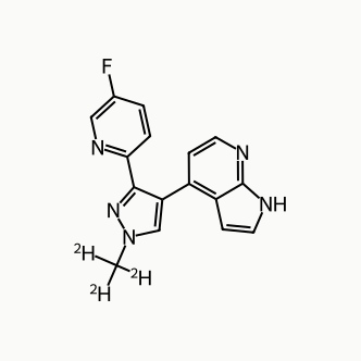 [2H]C([2H])([2H])n1cc(-c2ccnc3[nH]ccc23)c(-c2ccc(F)cn2)n1